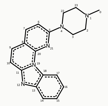 CN1CCN(c2ccc3ccc4nc5ccccc5n4c3n2)CC1